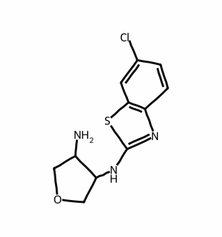 NC1COCC1Nc1nc2ccc(Cl)cc2s1